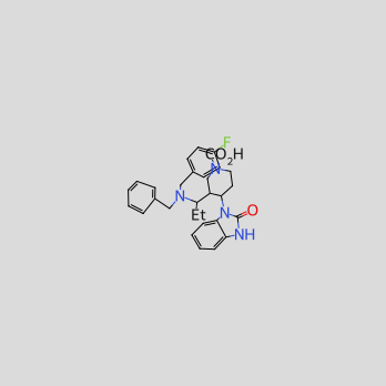 CCC(C1CN(C(=O)O)CCC1n1c(=O)[nH]c2ccccc21)N(Cc1ccccc1)Cc1ccc(F)cc1